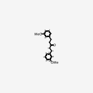 COc1cccc(CCC(=O)CCc2cccc(OC)c2)c1